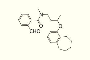 CC(CCN(C)C(=O)c1ccccc1C=O)Oc1cccc2c1CCCCC2